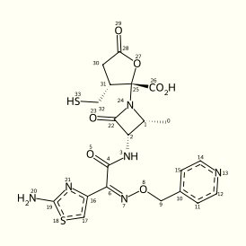 C[C@@H]1[C@H](NC(=O)/C(=N\OCc2ccncc2)c2csc(N)n2)C(=O)N1[C@@]1(C(=O)O)OC(=O)C[C@H]1CS